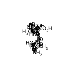 CN(CC(=O)Nc1cc(COC(=O)N(CCS(C)(=O)=O)COC[C@H]2O[C@@H](n3ccc(N)nc3=O)C(F)(F)[C@@H]2O)ccc1O[C@H]1O[C@@H](C(=O)O)[C@H](O)[C@@H](O)[C@@H]1O)C(=O)CCN1C(=O)C=CC1=O